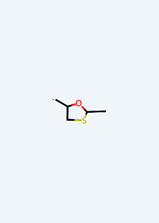 [CH2]C1CSC(C)O1